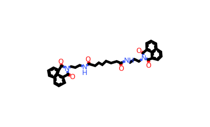 O=C(CCCCCCC(=O)NCCCN1C(=O)c2cccc3cccc(c23)C1=O)NCCCN1C(=O)c2cccc3cccc(c23)C1=O